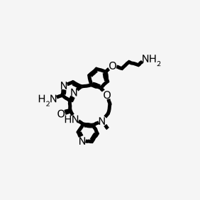 CN1CCOc2cc(OCCCN)ccc2-c2cnc(N)c(n2)C(=O)Nc2cnccc21